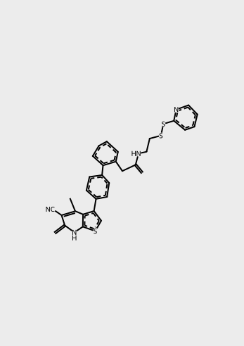 C=C(Cc1ccccc1-c1ccc(-c2csc3c2C(C)=C(C#N)C(=C)N3)cc1)NCCSSc1ccccn1